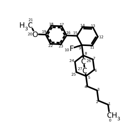 CCCCCC12CCC(C3(F)C=CC=CC3c3ccc(OC)cc3)(CC1)CC2